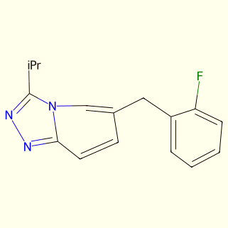 CC(C)c1nnc2ccc(Cc3ccccc3F)cn12